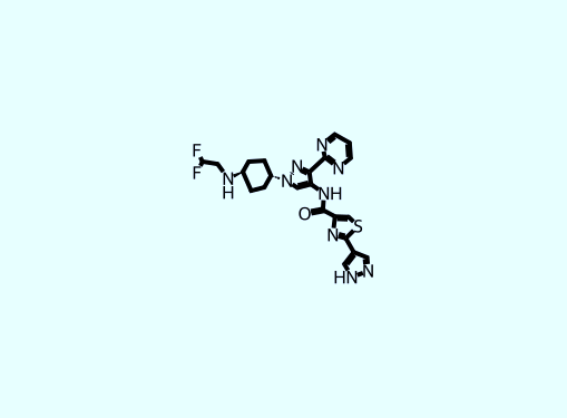 O=C(Nc1cn([C@H]2CC[C@H](NCC(F)F)CC2)nc1-c1ncccn1)c1csc(-c2cn[nH]c2)n1